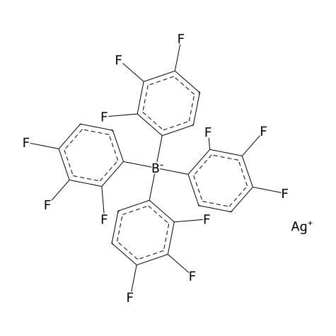 Fc1ccc([B-](c2ccc(F)c(F)c2F)(c2ccc(F)c(F)c2F)c2ccc(F)c(F)c2F)c(F)c1F.[Ag+]